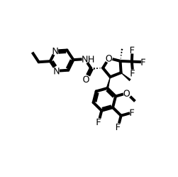 CCc1ncc(NC(=O)[C@@H]2O[C@@](C)(C(F)(F)F)[C@@H](C)[C@H]2c2ccc(F)c(C(F)F)c2OC)cn1